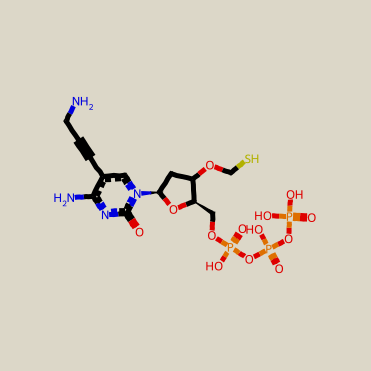 NCC#Cc1cn([C@H]2CC(OCS)[C@@H](COP(=O)(O)OP(=O)(O)OP(=O)(O)O)O2)c(=O)nc1N